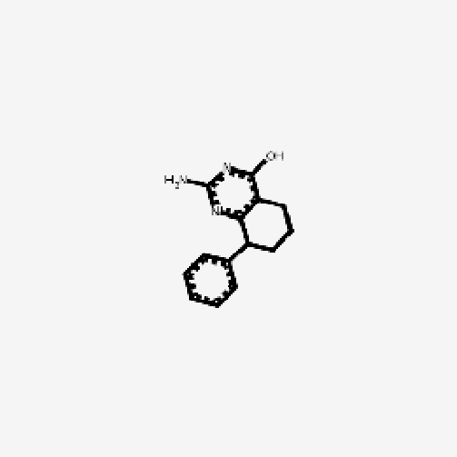 Nc1nc(O)c2c(n1)C(c1ccccc1)CCC2